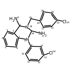 NC1c2ccccc2N(c2cccc(Cl)c2)C(N)N1Cc1ccc(Cl)cc1